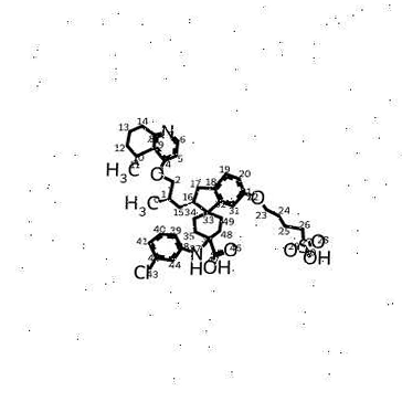 C[C@@H](COc1ccnc2c1[C@H](C)CCC2)C[C@H]1Cc2ccc(OCCCCS(=O)(=O)O)cc2C12CCC(Nc1cccc(Cl)c1)(C(=O)O)CC2